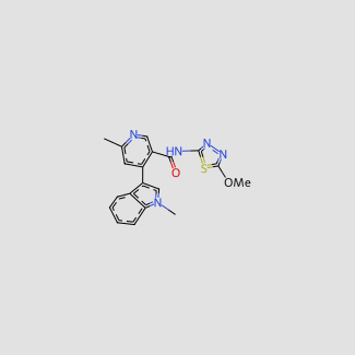 COc1nnc(NC(=O)c2cnc(C)cc2-c2cn(C)c3ccccc23)s1